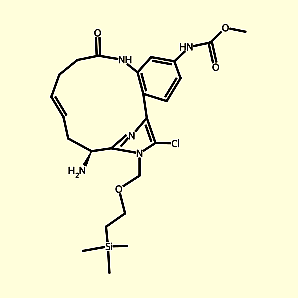 COC(=O)Nc1ccc2c(c1)NC(=O)CC/C=C/C[C@H](N)c1nc-2c(Cl)n1COCC[Si](C)(C)C